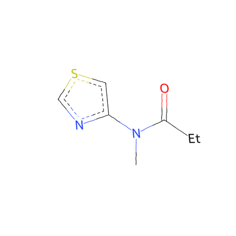 CCC(=O)N(C)c1cscn1